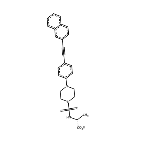 C[C@@H](NS(=O)(=O)N1CCN(c2ccc(C#Cc3ccc4ccccc4c3)cc2)CC1)C(=O)O